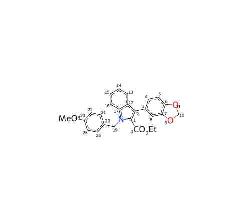 CCOC(=O)c1c(-c2ccc3c(c2)OCO3)c2ccccc2n1Cc1ccc(OC)cc1